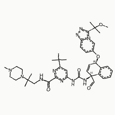 COC(C)(C)c1nnc2ccc(O[C@@H]3C=C[C@](C=O)(NC(=O)Nc4cc(C(C)(C)C)nc(C(=O)NCC(C)(C)N5CCN(C)CC5)n4)c4ccccc43)cn12